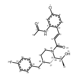 CC(=O)Nc1cc(Cl)ccc1C=CC(=O)N1CCN(Cc2ccc(F)cc2)C[C@H]1[C@H](C)O